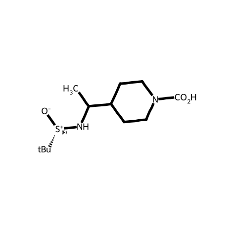 CC(N[S@@+]([O-])C(C)(C)C)C1CCN(C(=O)O)CC1